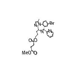 COC(=O)CCC(=O)OCCC[C@@H]1N=C(c2ccccn2)c2cc(Br)ccc2-n2c(C)cnc21